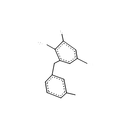 CSc1c(N)cc(C)cc1Cc1cccc(F)c1